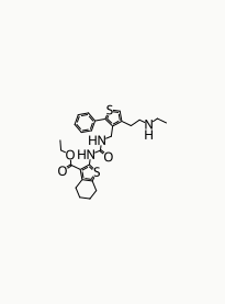 CCNCCc1csc(-c2ccccc2)c1CNC(=O)Nc1sc2c(c1C(=O)OCC)CCCC2